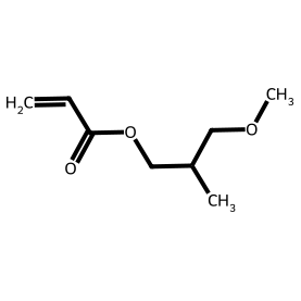 C=CC(=O)OCC(C)COC